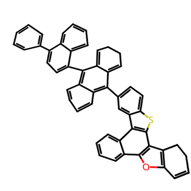 C1=Cc2oc3c4ccccc4c4c5cc(-c6c7c(c(-c8ccc(-c9ccccc9)c9ccccc89)c8ccccc68)=CCCC=7)ccc5sc4c3c2CC1